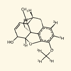 [2H]c1c([2H])c(OC([2H])([2H])[2H])c2c3c1C[C@@H]1[C@@H]4C=CC(O)C([2H])(O2)[C@]34CCN1C